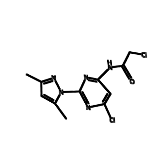 Cc1cc(C)n(-c2nc(Cl)cc(NC(=O)CCl)n2)n1